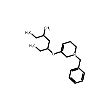 CCC(C)CC(CC)OC1=CCCN(Cc2ccccc2)C1